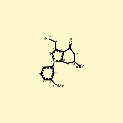 COc1cccc(-n2nc(CC(C)C)c3c2CC(C(C)C)CC3=O)c1